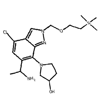 CC(N)c1cc(Cl)c2cn(COCC[Si](C)(C)C)nc2c1N1CCC(O)C1